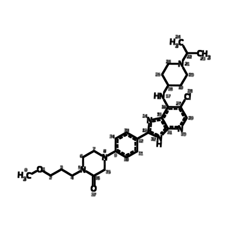 COCCCN1CCN(c2ccc(-c3nc4c(NC5CCN(C(C)C)CC5)c(Cl)cnc4[nH]3)cc2)CC1=O